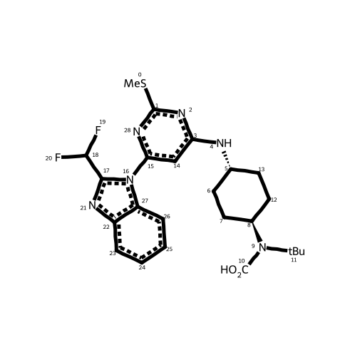 CSc1nc(N[C@H]2CC[C@H](N(C(=O)O)C(C)(C)C)CC2)cc(-n2c(C(F)F)nc3ccccc32)n1